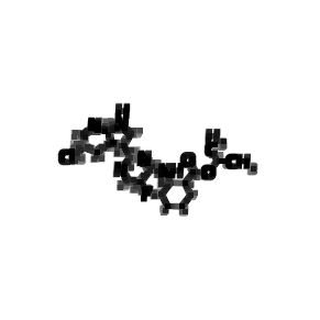 CC(C)OC(=O)C1CCCCC1Nc1nc(-c2c[nH]c3ncc(Cl)cc23)ncc1F